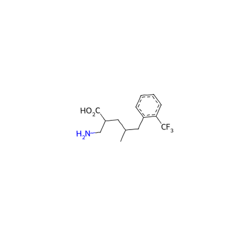 CC(Cc1ccccc1C(F)(F)F)CC(CN)C(=O)O